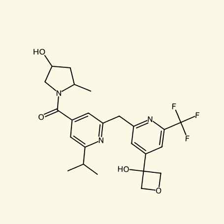 CC(C)c1cc(C(=O)N2CC(O)CC2C)cc(Cc2cc(C3(O)COC3)cc(C(F)(F)F)n2)n1